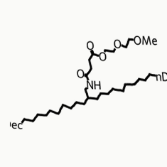 CCCCCCCCCCCCCCCCCCCCC(CCCCCCCCCCCCCCCCCCCC)CNC(=O)CCC(=O)OCCOCCOC